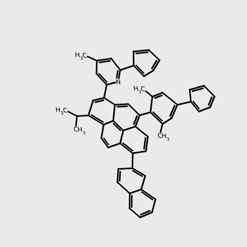 Cc1cc(-c2ccccc2)nc(-c2cc(C(C)C)c3ccc4c(-c5ccc6ccccc6c5)ccc5c(-c6c(C)cc(-c7ccccc7)cc6C)cc2c3c45)c1